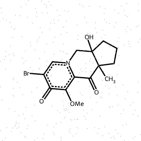 COc1c2n(cc(Br)c1=O)CC1(O)CCCC1(C)C2=O